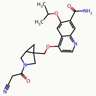 CC(C)Oc1cc2c(OCC34CC3CN(C(=O)CC#N)C4)ccnc2cc1C(N)=O